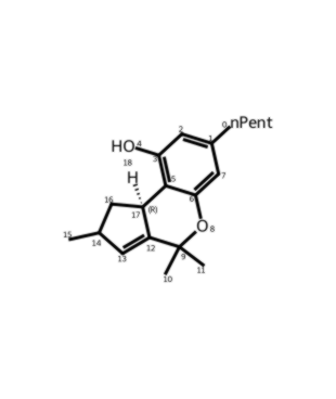 CCCCCc1cc(O)c2c(c1)OC(C)(C)C1=CC(C)C[C@H]12